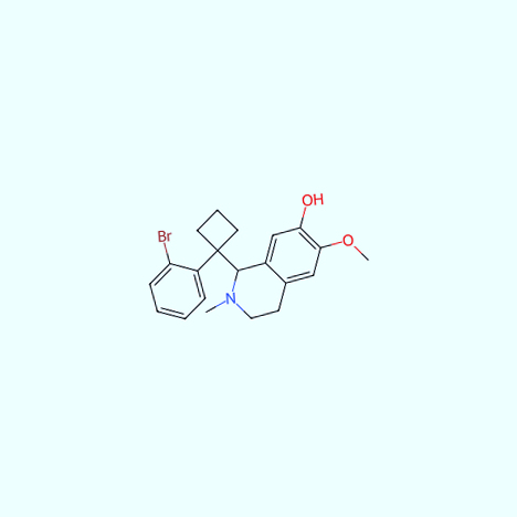 COc1cc2c(cc1O)C(C1(c3ccccc3Br)CCC1)N(C)CC2